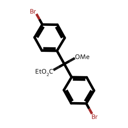 CCOC(=O)C(OC)(c1ccc(Br)cc1)c1ccc(Br)cc1